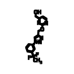 CC(F)(F)c1cccc(-n2cc(COc3nccc(CO)n3)nn2)c1